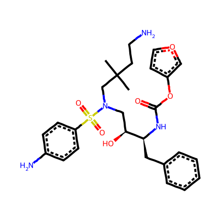 CC(C)(CCN)CN(C[C@H](O)[C@H](Cc1ccccc1)NC(=O)Oc1ccoc1)S(=O)(=O)c1ccc(N)cc1